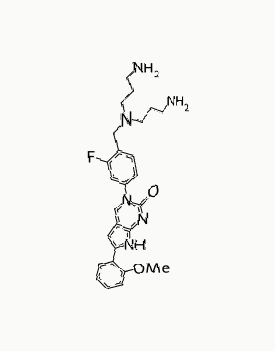 COc1ccccc1-c1cc2cn(-c3ccc(CN(CCCN)CCCN)c(F)c3)c(=O)nc2[nH]1